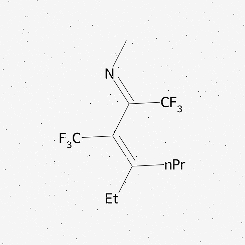 CCC/C(CC)=C(\C(=N\C)C(F)(F)F)C(F)(F)F